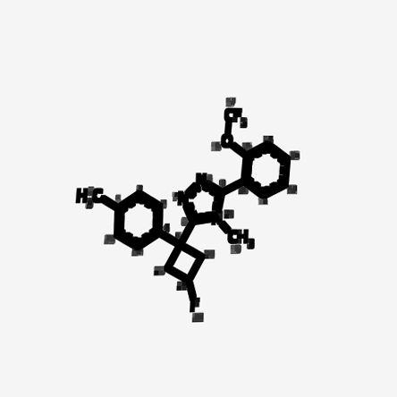 Cc1ccc(C2(c3nnc(-c4ccccc4OC(F)(F)F)n3C)CC(F)C2)cc1